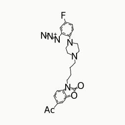 CC(=O)c1ccc2c(c1)oc(=O)n2CCCCN1CCN(c2ccc(F)cc2N=[N+]=[N-])CC1